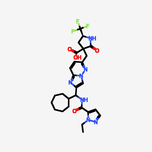 CCn1nccc1C(=O)NC(c1cn2nc(CC3(C(=O)O)C[C@@H](C(F)(F)F)NC3=O)ccc2n1)C1CCCCCC1